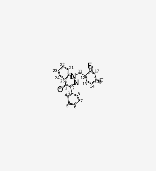 O=c1c(-c2ccccc2)nn(Cc2ccc(F)cc2F)c2ccccc12